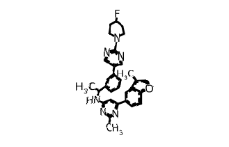 Cc1nc(NC(C)c2cccc(-c3cnc(N4CCC(F)CC4)nc3)c2)cc(-c2ccc3occ(C)c3c2)n1